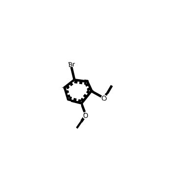 COc1c[c]c(Br)cc1OC